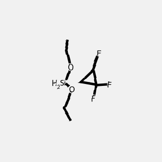 CCO[SiH2]OCC.FC1CC1(F)F